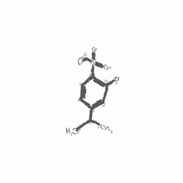 CC(C)c1ccc(S(=O)(=O)Cl)c(Br)c1